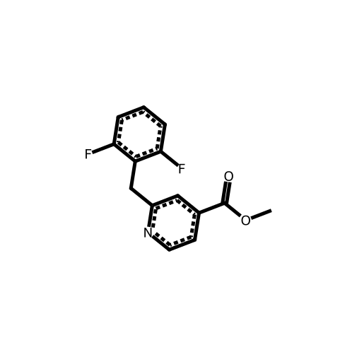 COC(=O)c1ccnc(Cc2c(F)cccc2F)c1